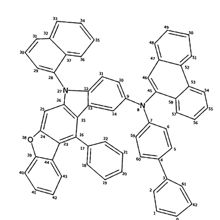 c1ccc(-c2ccc(N(c3ccc4c(c3)c3c(-c5ccccc5)c5c(cc3n4-c3cccc4ccccc34)oc3ccccc35)c3cc4ccccc4c4ccccc34)cc2)cc1